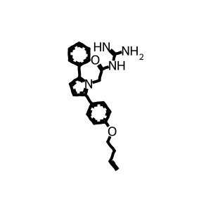 C=CCCOc1ccc(-c2ccc(-c3ccccc3)n2CC(=O)NC(=N)N)cc1